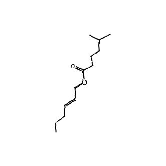 CCCC=CCOC(=O)CCCC(C)C